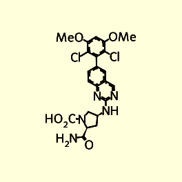 COc1cc(OC)c(Cl)c(-c2ccc3nc(N[C@H]4C[C@@H](C(N)=O)N(C(=O)O)C4)ncc3c2)c1Cl